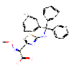 CO/N=C(/C(=O)[O-])c1csc(NC(c2ccccc2)(c2ccccc2)c2ccccc2)n1.[Na+]